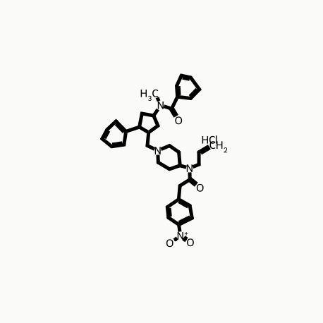 C=CCN(C(=O)Cc1ccc([N+](=O)[O-])cc1)C1CCN(CC2CC(N(C)C(=O)c3ccccc3)CC2c2ccccc2)CC1.Cl